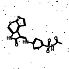 CC(=O)NS(=O)(=O)c1ccc(N/C=c2\c(=O)[nH]c3csc4nccc4c23)cc1